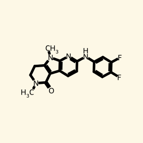 CN1CCc2c(c3ccc(Nc4ccc(F)c(F)c4)nc3n2C)C1=O